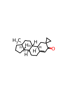 C[C@@]12CCC[C@H]1[C@@H]1CCC3=CC(=O)C4(CC4)C[C@@H]3[C@H]1CC2